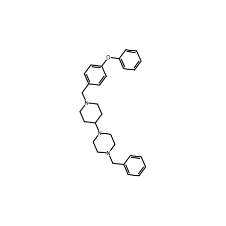 c1ccc(CN2CCN(C3CCN(Cc4ccc(Oc5ccccc5)cc4)CC3)CC2)cc1